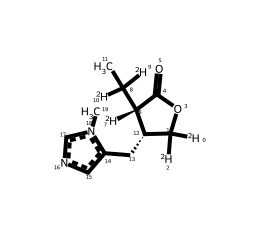 [2H]C1([2H])OC(=O)[C@@]([2H])(C([2H])([2H])C)[C@H]1Cc1cncn1C